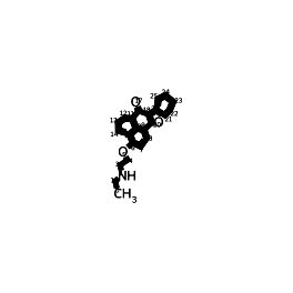 CCNCCOc1ccc2c3c(cccc13)C(=O)c1c-2oc2ccccc12